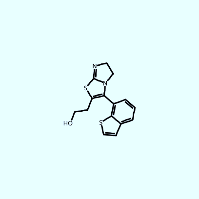 OCCC1=C(c2cccc3ccsc23)N2CCN=C2S1